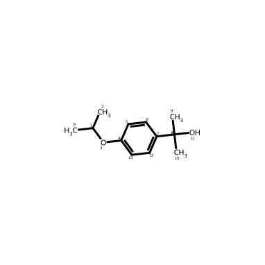 CC(C)Oc1ccc(C(C)(C)O)cc1